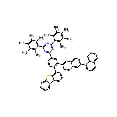 Bc1c(B)c(B)c(-c2nc(-c3ccc(-c4cccc5c4sc4ccccc45)c(-c4ccc5cc(-c6cccc7ccccc67)ccc5c4)c3)nc(-c3c(B)c(B)c(B)c(B)c3B)n2)c(B)c1B